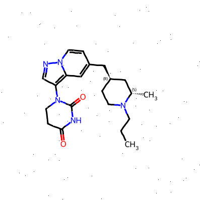 CCCN1CC[C@@H](Cc2ccn3ncc(N4CCC(=O)NC4=O)c3c2)C[C@@H]1C